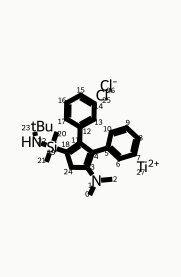 CN(C)C1=C(c2ccccc2)C(c2ccccc2)=C([Si](C)(C)NC(C)(C)C)C1.[Cl-].[Cl-].[Ti+2]